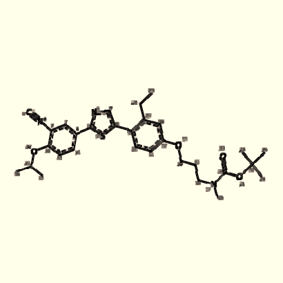 [C-]#[N+]c1cc(-c2ncc(-c3ccc(OCCCN(C)C(=O)OC(C)(C)C)cc3CC)s2)ccc1OC(C)C